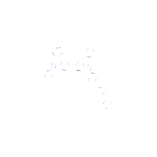 c1ccc(Nc2ccc(-c3ccc(Nc4ccc(-c5ccc(-c6ccccc6)cc5)cc4)c(-c4ccccc4)c3)cc2-c2ccccc2)cc1